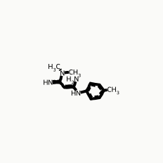 Cc1ccc(N/C(N)=C/C(=N)N(C)C)cc1